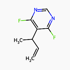 C=CC(C)c1c(F)ncnc1F